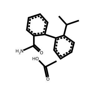 CC(=O)O.CC(C)c1ccccc1-c1ccccc1C(N)=O